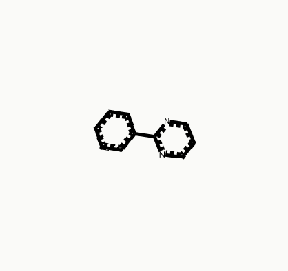 [c]1ccnc(-c2ccccc2)n1